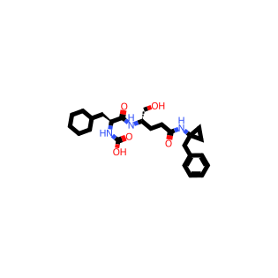 O=C(O)N[C@@H](CC1CCCCC1)C(=O)N[C@H](CO)CCC(=O)NC1(Cc2ccccc2)CC1